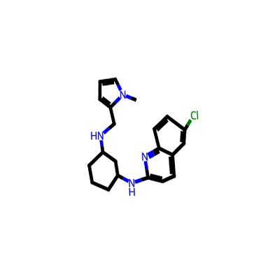 Cn1cccc1CNC1CCCC(Nc2ccc3cc(Cl)ccc3n2)C1